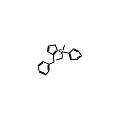 CC[Si](C)(C1=C(Cc2ccccc2)C=CC1)c1ccccc1